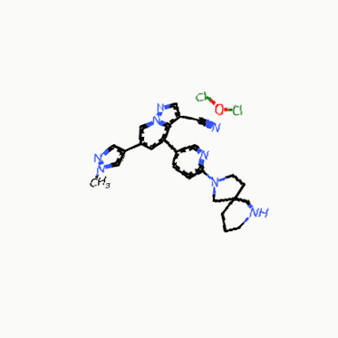 ClOCl.Cn1cc(-c2cc(-c3ccc(N4CCC5(CCCNC5)C4)nc3)c3c(C#N)cnn3c2)cn1